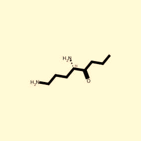 CCCC(=O)[C@@H](N)CCCN